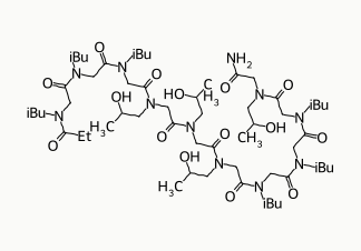 CCC(=O)N(CC(=O)N(CC(=O)N(CC(=O)N(CC(=O)N(CC(=O)N(CC(=O)N(CC(=O)N(CC(=O)N(CC(=O)N(CC(N)=O)CC(C)O)C(C)CC)C(C)CC)C(C)CC)CC(C)O)CC(C)O)CC(C)O)C(C)CC)C(C)CC)C(C)CC